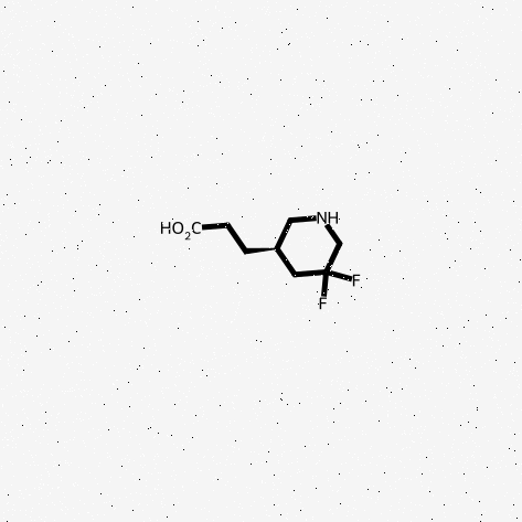 O=C(O)CC[C@H]1CNCC(F)(F)C1